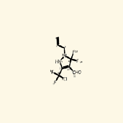 C=CCN1NC(C(F)(F)Cl)=C(C=O)C1(F)F